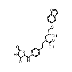 O=C1NC(=O)C(Nc2ccc(CCN(C[C@H](O)COc3ccc4occc4c3)C(=O)O)cc2)S1